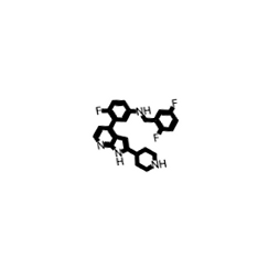 Fc1ccc(F)c(CNc2ccc(F)c(-c3ccnc4[nH]c(C5CCNCC5)cc34)c2)c1